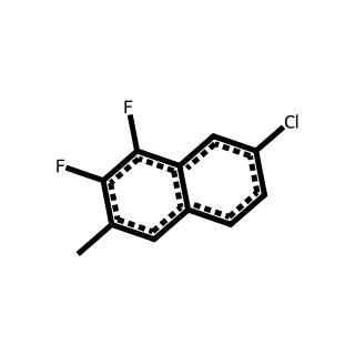 Cc1cc2ccc(Cl)cc2c(F)c1F